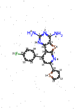 Nc1nc(N)c2sc3nc(-c4cccs4)cc(-c4ccc(F)cc4)c3c2n1